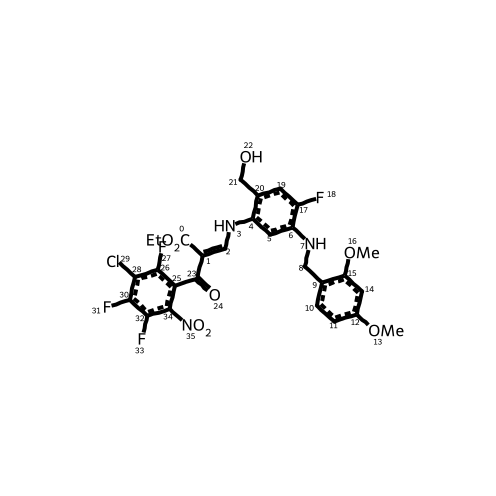 CCOC(=O)/C(=C\Nc1cc(NCc2ccc(OC)cc2OC)c(F)cc1CO)C(=O)c1c(F)c(Cl)c(F)c(F)c1[N+](=O)[O-]